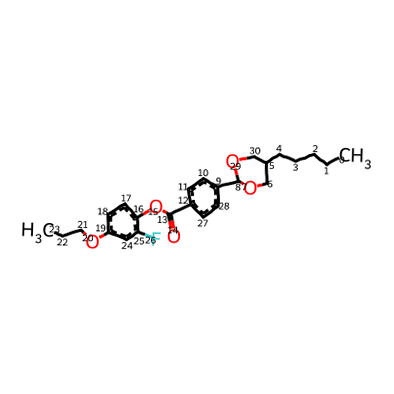 CCCCCC1COC(c2ccc(C(=O)Oc3ccc(OCCC)cc3F)cc2)OC1